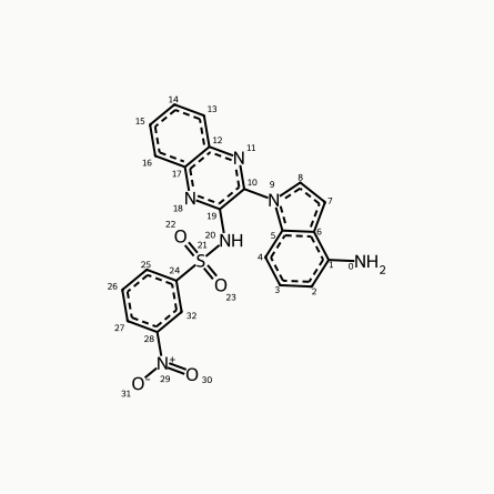 Nc1cccc2c1ccn2-c1nc2ccccc2nc1NS(=O)(=O)c1cccc([N+](=O)[O-])c1